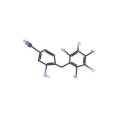 [2H]c1c(Cl)c([2H])c(Cc2ccc(C#N)cc2N)c([2H])c1Cl